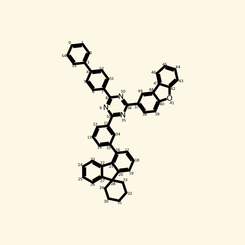 c1ccc(-c2ccc(-c3nc(-c4cccc(-c5cccc6c5-c5ccccc5C65CCCCC5)c4)nc(-c4ccc5oc6ccccc6c5c4)n3)cc2)cc1